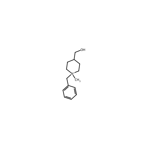 C[N+]1(Cc2ccccc2)CCC(CO)CC1